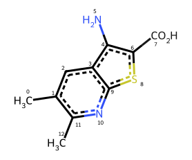 Cc1cc2c(N)c(C(=O)O)sc2nc1C